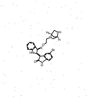 O=C1Nc2ccc(Br)cc2/C1=C1/Nc2ccccc2/C1=N\OCCN1C[C@@H]2C[C@H]1CN2